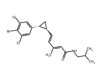 CC(C=C[C@@H]1C[C@H]1c1cc(Cl)c(Br)c(Cl)c1)=CC(=O)NCC(C)C